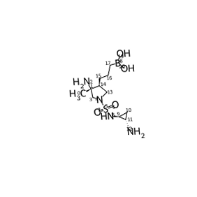 C[C@]1(N)CN(S(=O)(=O)N[C@H]2C[C@@H]2N)C[C@@H]1CCCB(O)O